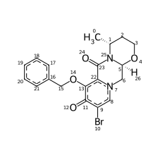 C[C@@H]1CCO[C@H]2Cn3cc(Br)c(=O)c(OCc4ccccc4)c3C(=O)N12